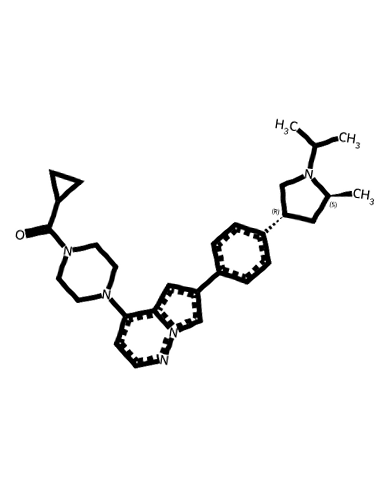 CC(C)N1C[C@@H](c2ccc(-c3cc4c(N5CCN(C(=O)C6CC6)CC5)ccnn4c3)cc2)C[C@@H]1C